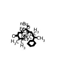 CCCCOC(=O)C(CC(C)(C)C(C)c1ccccc1)ON1C(C)(CC)CC(=O)C(C)C1(C)CC